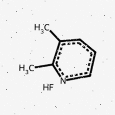 Cc1cccnc1C.F